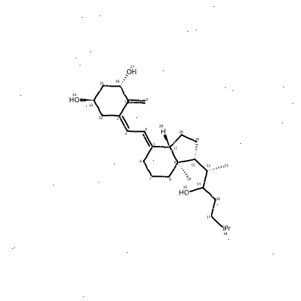 C=C1/C(=C\C=C2/CCC[C@]3(C)[C@@H]([C@H](C)C(O)CCC(C)C)CC[C@@H]23)C[C@@H](O)C[C@@H]1O